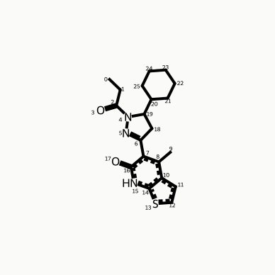 CCC(=O)N1N=C(c2c(C)c3ccsc3[nH]c2=O)CC1C1CCCCC1